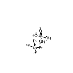 O=P(O)(O)O.[F][Sn]([F])([F])[F]